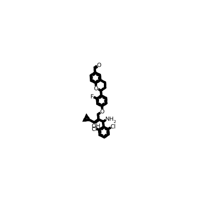 NC(/C(COc1ccc(C2CCc3cc(C=O)ccc3O2)c(F)c1)=C(\O)C1CC1)c1c(Cl)cccc1Cl